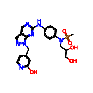 CS(=O)(=O)N(CC(O)CO)c1ccc(Nc2ncc3cnn(Cc4ccnc(O)c4)c3n2)cc1